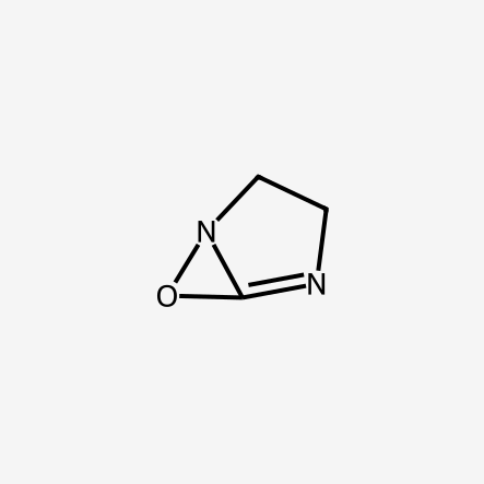 C1CN2OC2=N1